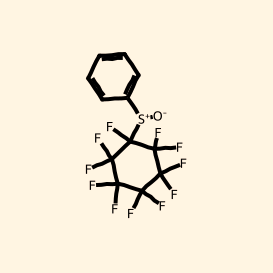 [O-][S+](c1ccccc1)C1(F)C(F)(F)C(F)(F)C(F)(F)C(F)(F)C1(F)F